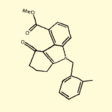 COC(=O)c1cccc2c1c1c(n2Cc2ccccc2C)CCCC1=O